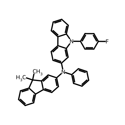 CC1(C)c2ccccc2-c2ccc(N(c3ccccc3)c3ccc4c5ccccc5n(-c5ccc(F)cc5)c4c3)cc21